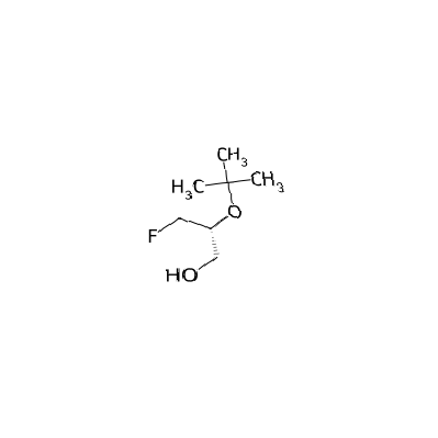 CC(C)(C)O[C@H](CO)CF